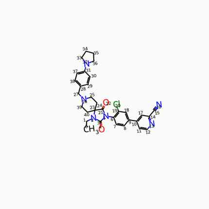 CCN1C(=O)N(c2ccc(-c3ccnc(C#N)c3)cc2Cl)C(=O)C12CCN(Cc1ccc(N3CCCC3)cc1)CC2